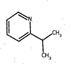 C[C](C)c1ccccn1